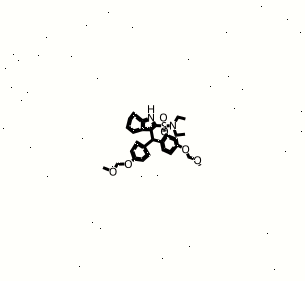 CCN(CC)S(=O)(=O)c1[nH]c2ccccc2c1C(c1ccc(OCOC)cc1)c1ccc(OCOC)cc1